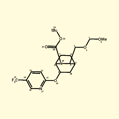 COCOCC1C2CCC(C(Oc3ccc(C(F)(F)F)cn3)C2)N1C(=O)OC(C)(C)C